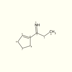 CCC(=N)C1=CCCC1